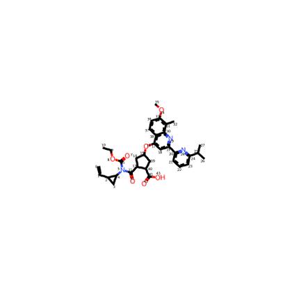 C=CC1CC1N(C(=O)OCC)C(=O)C1CC(Oc2cc(-c3cccc(C(C)C)n3)nc3c(C)c(OC)ccc23)CC1C(=O)O